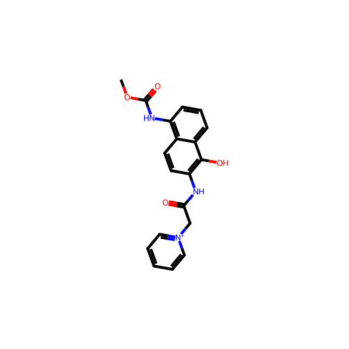 COC(=O)Nc1cccc2c(O)c(NC(=O)C[n+]3ccccc3)ccc12